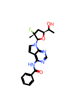 CC(O)[C@@H]1C[C@@](C)(F)[C@H](n2ccc3c(NC(=O)c4ccccc4)ncnc32)O1